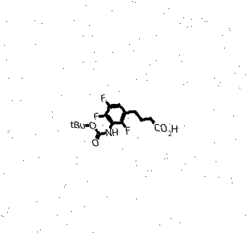 CC(C)(C)OC(=O)Nc1c(F)c(F)cc(CCCC(=O)O)c1F